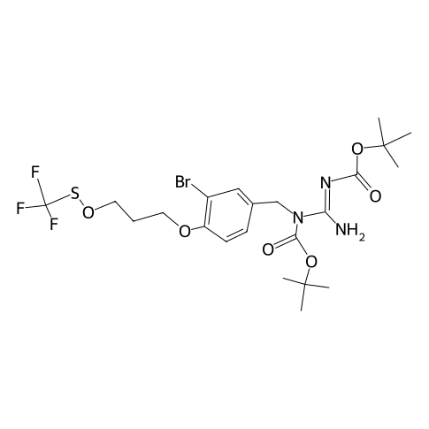 CC(C)(C)OC(=O)N=C(N)N(Cc1ccc(OCCCOSC(F)(F)F)c(Br)c1)C(=O)OC(C)(C)C